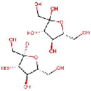 OC[C@H]1OC(O)(CO)[C@@H](O)[C@@H]1O.OC[C@H]1O[C@](O)(CO)[C@@H](O)[C@@H]1O